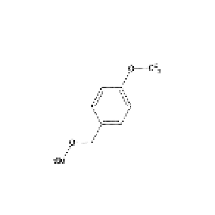 CC(C)(C)OCc1ccc(OC(F)(F)F)cc1